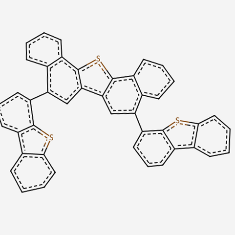 c1ccc2c(c1)sc1c(-c3cc4c5cc(-c6cccc7c6sc6ccccc67)c6ccccc6c5sc4c4ccccc34)cccc12